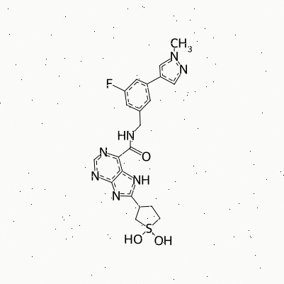 Cn1cc(-c2cc(F)cc(CNC(=O)c3ncnc4nc(C5CCS(O)(O)C5)[nH]c34)c2)cn1